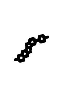 Cc1ccc(-c2ccc3sc4c5cc6cc(C)ccc6cc5sc4c3c2)cc1